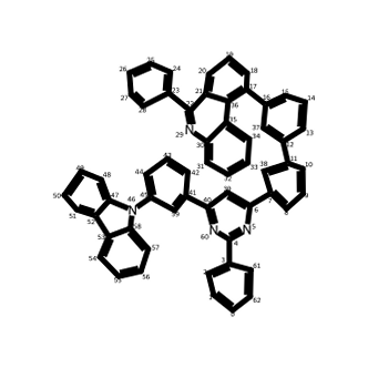 c1ccc(-c2nc(-c3cccc(-c4cccc(-c5cccc6c(-c7ccccc7)nc7ccccc7c56)c4)c3)cc(-c3cccc(-n4c5ccccc5c5ccccc54)c3)n2)cc1